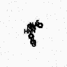 C1=Cc2c(-c3cnc(Nc4ccc(N5CCOCC5)cc4)c4ncnn34)csc2CC1